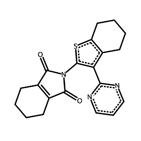 O=C1C2=C(CCCC2)C(=O)N1c1sc2c(c1-c1ncccn1)CCCC2